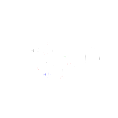 COC(=O)C(N)(C(=O)OCc1ccccc1)C(Cl)=C=O